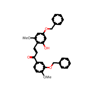 COc1ccc(C(=O)C=Cc2c(O)cc(OCc3ccccc3)cc2OC)cc1OCc1ccccc1